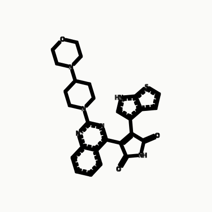 O=C1NC(=O)C(c2c[nH]c3sccc23)=C1c1nc(N2CCC(N3CCOCC3)CC2)nc2ccccc12